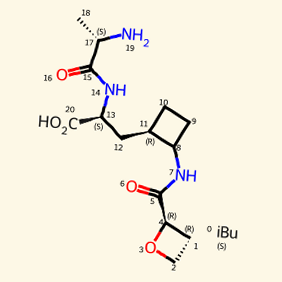 CC[C@H](C)[C@@H]1CO[C@H]1C(=O)NC1CC[C@@H]1C[C@H](NC(=O)[C@H](C)N)C(=O)O